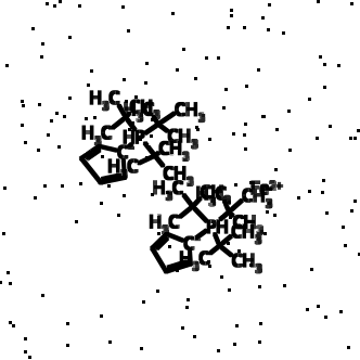 CC(C)(C)[PH]([c-]1cccc1)(C(C)(C)C)C(C)(C)C.CC(C)(C)[PH]([c-]1cccc1)(C(C)(C)C)C(C)(C)C.[Fe+2]